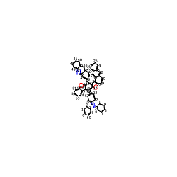 c1ccc(N(c2ccccc2)c2ccc(B3c4oc5ccc6cc7ccccc7cc6c5c4B(c4ccc5cc6ccccc6nc5c4)c4oc5ccccc5c43)cc2)cc1